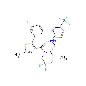 Cc1nc(C(=O)N2CC(F)(F)CC(C)C2CNc2ccc(C(F)(F)F)cn2)c(-c2cccc(F)c2)s1